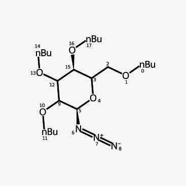 CCCCOCC1O[C@@H](N=[N+]=[N-])C(OCCCC)C(OCCCC)[C@H]1OCCCC